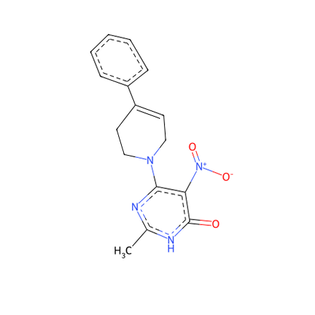 Cc1nc(N2CC=C(c3ccccc3)CC2)c([N+](=O)[O-])c(=O)[nH]1